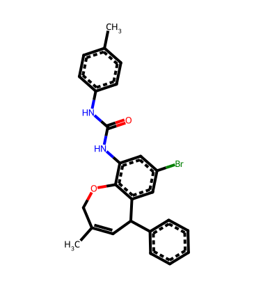 CC1=CC(c2ccccc2)c2cc(Br)cc(NC(=O)Nc3ccc(C)cc3)c2OC1